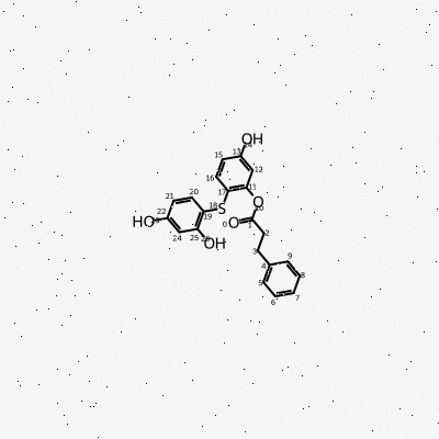 O=C(CCc1ccccc1)Oc1cc(O)ccc1Sc1ccc(O)cc1O